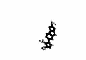 Cc1cc2c(s1)-c1ccc(-c3occ(C)c3C)cc1C2